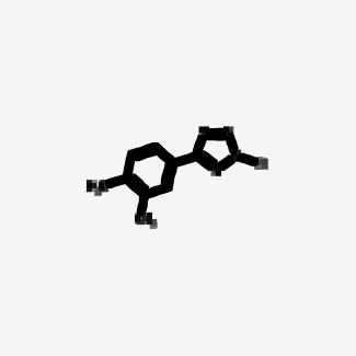 CCn1nnc(-c2ccc(C)c(C)c2)n1